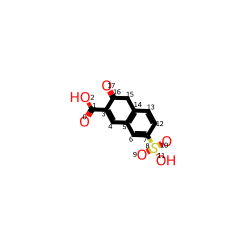 O=C(O)C1=Cc2cc(S(=O)(=O)O)ccc2CC1=O